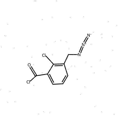 [N-]=[N+]=NCc1cccc(C(=O)Cl)c1Cl